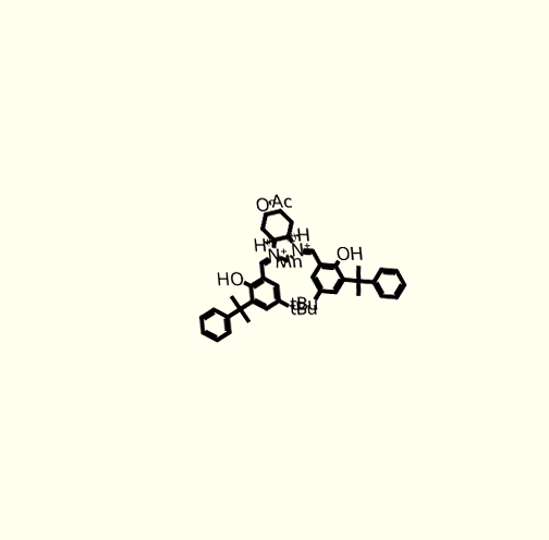 CC(=O)[O-].CC(C)(C)c1cc(C=[N+]2[Mn][N+](=Cc3cc(C(C)(C)C)cc(C(C)(C)c4ccccc4)c3O)[C@@H]3CCCC[C@H]32)c(O)c(C(C)(C)c2ccccc2)c1